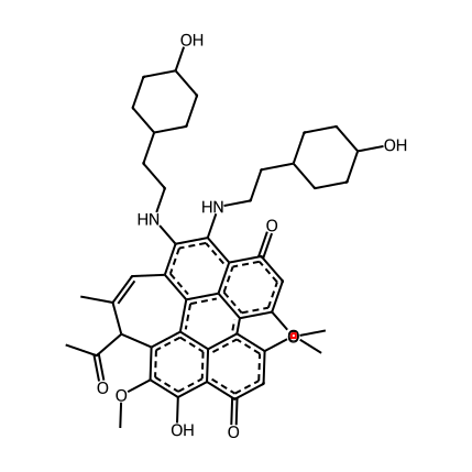 COc1c(O)c2c(=O)cc(OC)c3c4c(OC)cc(=O)c5c(NCCC6CCC(O)CC6)c(NCCC6CCC(O)CC6)c6c(c(c1C(C(C)=O)C(C)=C6)c23)c54